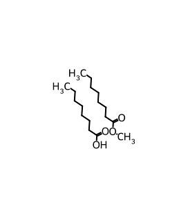 CCCCCCCC(=O)O.CCCCCCCC(=O)OC